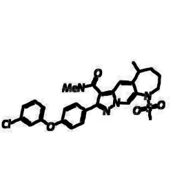 CNC(=O)c1c(-c2ccc(Oc3cccc(Cl)c3)cc2)nn2cc3c(cc12)C(C)CCCN3S(C)(=O)=O